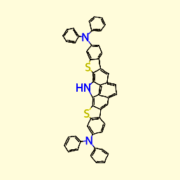 c1ccc(N(c2ccccc2)c2ccc3c(c2)sc2c3cc3ccc4cc5c6ccc(N(c7ccccc7)c7ccccc7)cc6sc5c5[nH]c2c3c45)cc1